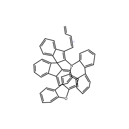 C=C/C=C\C1=C(N(c2ccc3oc4ccccc4c3c2)c2ccccc2-c2ccccc2)C2(c3ccccc31)c1ccccc1-c1ccccc12